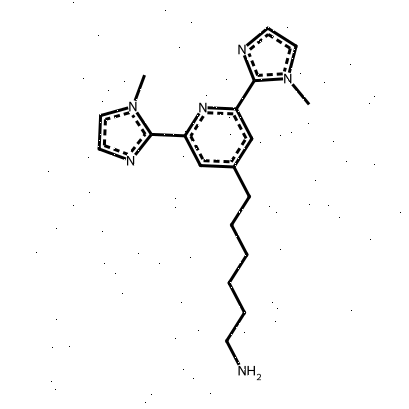 Cn1ccnc1-c1cc(CCCCCCN)cc(-c2nccn2C)n1